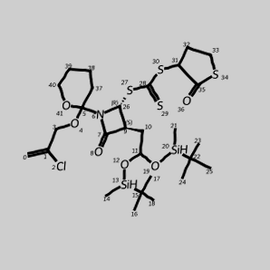 C=C(Cl)COC1(N2C(=O)[C@H](CC(O[SiH](C)C(C)(C)C)O[SiH](C)C(C)(C)C)[C@H]2SC(=S)SC2CCSC2=O)CCCCO1